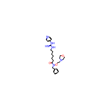 N=C(NCCCCCCC(=O)N(Cc1ccccc1)OCCN1CCOCC1)Nc1ccncc1